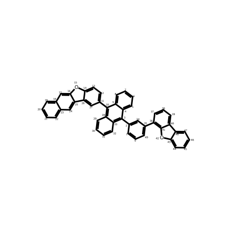 c1cc(-c2c3ccccc3c(-c3ccc4oc5cc6ccccc6cc5c4c3)c3ccccc23)cc(-c2cccc3c2oc2ccccc23)c1